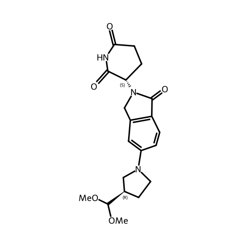 COC(OC)[C@@H]1CCN(c2ccc3c(c2)CN([C@H]2CCC(=O)NC2=O)C3=O)C1